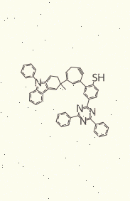 CC1(C2=CCC#CC(c3cc(-c4nc(-c5ccccc5)nc(-c5ccccc5)n4)ccc3S)=C2)C=c2c(n(-c3ccccc3)c3ccccc23)=CC1